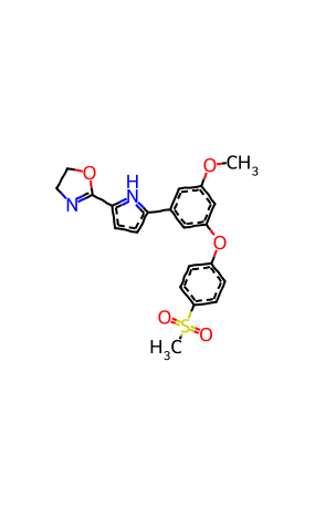 COc1cc(Oc2ccc(S(C)(=O)=O)cc2)cc(-c2ccc(C3=NCCO3)[nH]2)c1